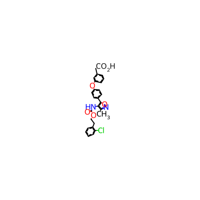 Cc1noc(-c2ccc(Oc3cccc(CC(=O)O)c3)cc2)c1NC(=O)OCCc1ccccc1Cl